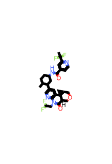 CC1CCC(NC(=O)c2ccnc(C(C)(F)F)c2)CC1c1cnc2c(c1)C13CC1COC[C@H]3C(=O)N2CC(F)F